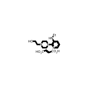 CCNc1cccnc1N1CCN(CCO)CC1.O=C(O)C=CC(=O)O